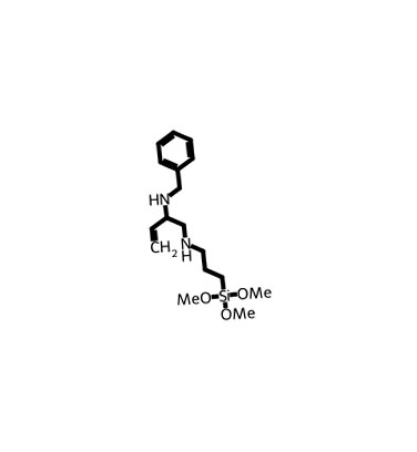 C=CC(CNCCC[Si](OC)(OC)OC)NCc1ccccc1